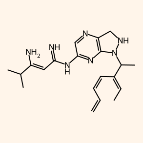 C=C/C=C\C(=C/C)C(C)N1NCc2ncc(NC(=N)/C=C(\N)C(C)C)nc21